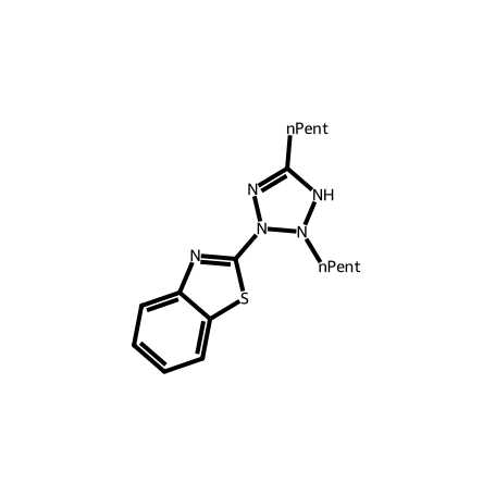 CCCCCC1=NN(c2nc3ccccc3s2)N(CCCCC)N1